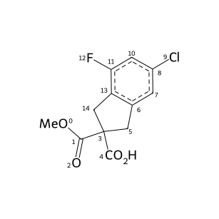 COC(=O)C1(C(=O)O)Cc2cc(Cl)cc(F)c2C1